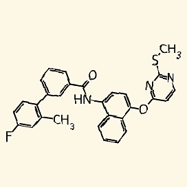 CSc1nccc(Oc2ccc(NC(=O)c3cccc(-c4ccc(F)cc4C)c3)c3ccccc23)n1